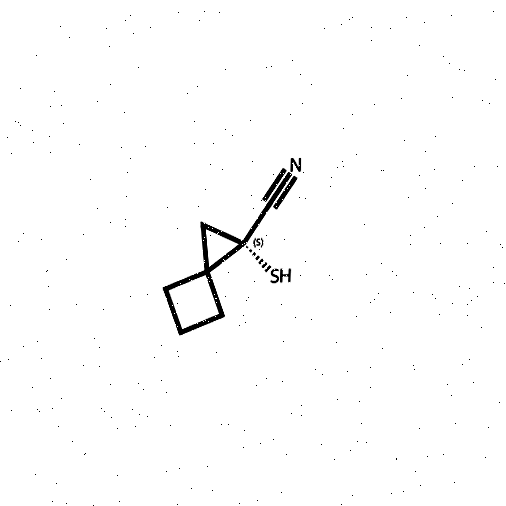 N#C[C@]1(S)CC12CCC2